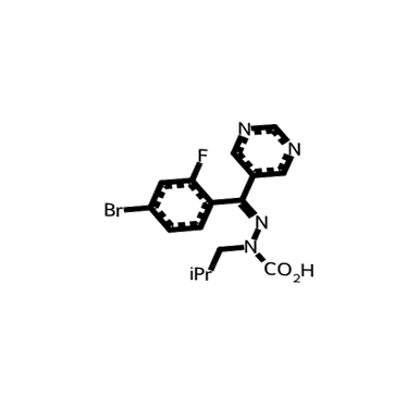 CC(C)CN(N=C(c1cncnc1)c1ccc(Br)cc1F)C(=O)O